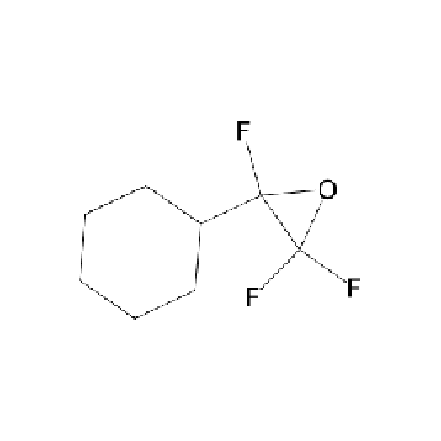 FC1(F)OC1(F)C1CCCCC1